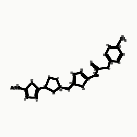 CC(=O)Nc1nnc(C2CC[C@@H](Cc3nnc(NC(=O)Cc4ccc(C)nc4)s3)C2)s1